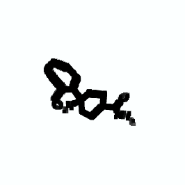 Cc1ccccc1C1([N+](=O)[O-])C=CC(C(N)=O)=CC1